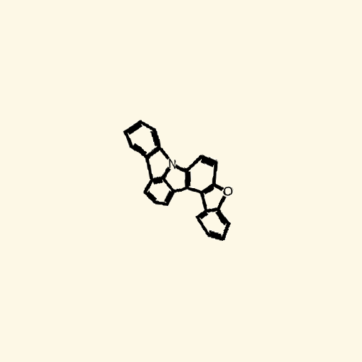 c1ccc2c(c1)oc1ccc3c(c4cccc5c6ccccc6n3c54)c12